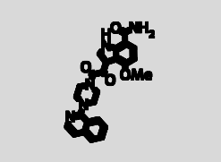 COc1ccc(C(N)=O)c2c1C(C(=O)C(=O)N1CCN(c3nccc4ccccc34)CC1)CN2